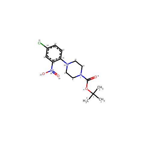 CC(C)(C)OC(=O)N1CCN(c2ccc(Cl)cc2[N+](=O)[O-])CC1